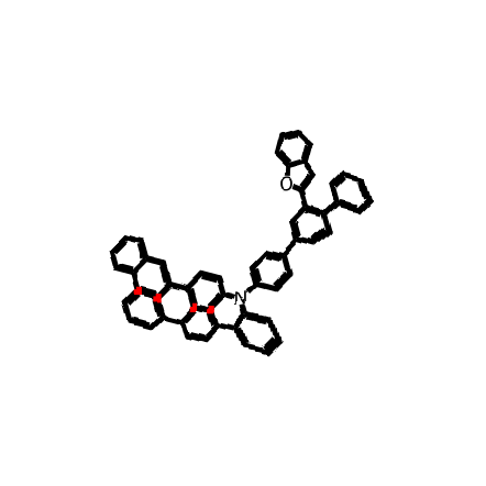 c1ccc(-c2ccc(-c3ccccc3N(c3ccc(-c4ccc(-c5ccccc5)c(-c5cc6ccccc6o5)c4)cc3)c3ccc(-c4ccc5ccccc5c4)cc3)cc2)cc1